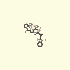 CC(NC(=O)C1CC1c1nc2ccccc2[nH]1)c1ccc(C(=O)N2CCCC2(C)C)s1